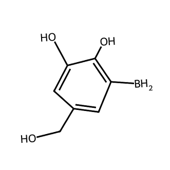 Bc1cc(CO)cc(O)c1O